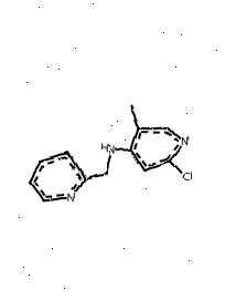 Cc1cnc(Cl)cc1NCc1ccccn1